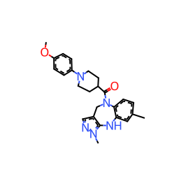 COc1ccc(N2CCC(C(=O)N3Cc4cnn(C)c4Nc4cc(C)ccc43)CC2)cc1